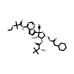 CCOC(C)(C)C(=O)Nc1ncnn2c([C@]3(C#N)O[C@H](COC(=O)CC4CCCCC4)[C@@H](OC(=O)[C@H](N)C(C)(C)C)[C@H]3O)ccc12